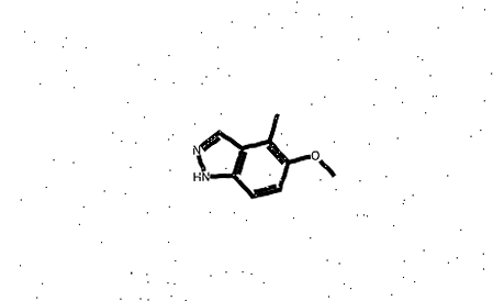 COc1ccc2[nH]ncc2c1C